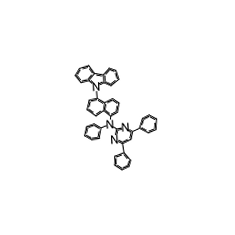 c1ccc(-c2cc(-c3ccccc3)nc(N(c3ccccc3)c3cccc4c(-n5c6ccccc6c6ccccc65)cccc34)n2)cc1